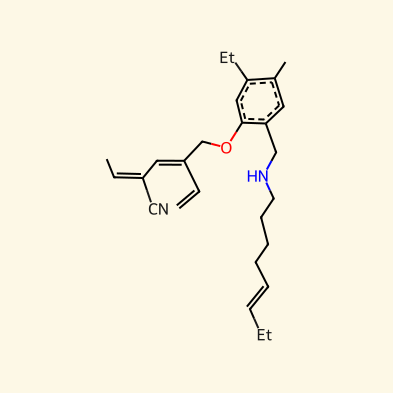 C=C/C(=C\C(C#N)=C/C)COc1cc(CC)c(C)cc1CNCCCC/C=C/CC